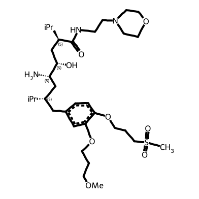 COCCCOc1cc(C[C@@H](C[C@H](N)[C@@H](O)C[C@H](C(=O)NCCN2CCOCC2)C(C)C)C(C)C)ccc1OCCCS(C)(=O)=O